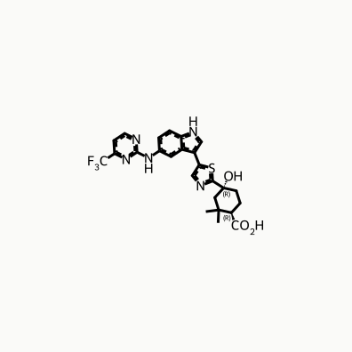 CC1(C)C[C@@](O)(c2ncc(-c3c[nH]c4ccc(Nc5nccc(C(F)(F)F)n5)cc34)s2)CC[C@H]1C(=O)O